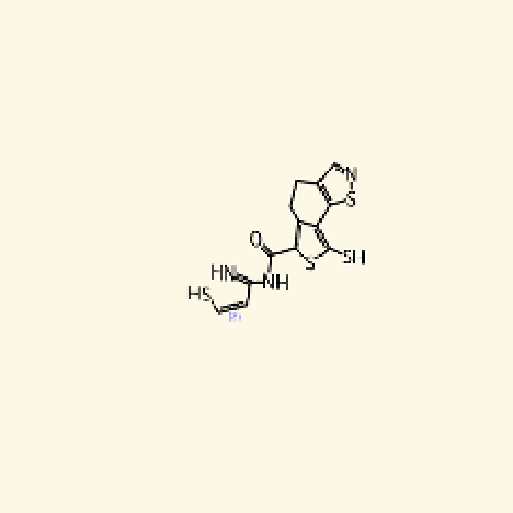 N=C(/C=C\S)NC(=O)c1sc(S)c2c1CCc1cnsc1-2